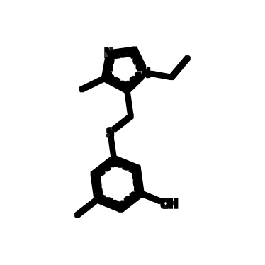 CCn1cnc(C)c1CSc1cc(C)cc(O)c1